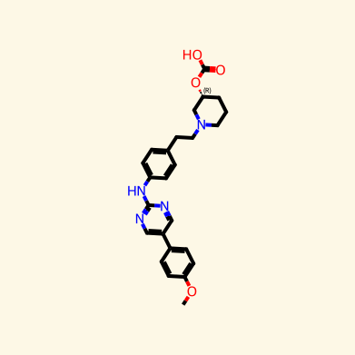 COc1ccc(-c2cnc(Nc3ccc(CCN4CCC[C@@H](OC(=O)O)C4)cc3)nc2)cc1